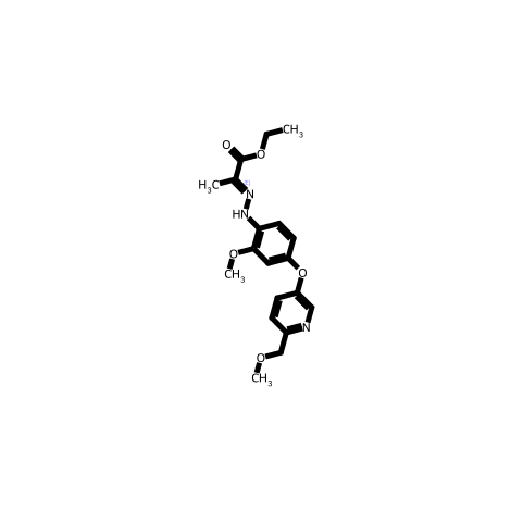 CCOC(=O)/C(C)=N/Nc1ccc(Oc2ccc(COC)nc2)cc1OC